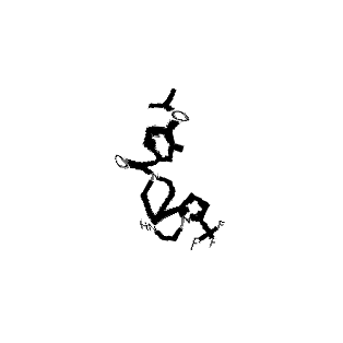 Cc1cc(C(=O)N2CCC3(CC2)NCCn2c(C(F)(F)F)ccc23)ccc1OC(C)C